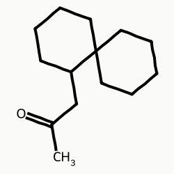 CC(=O)CC1CCCCC12CCCCC2